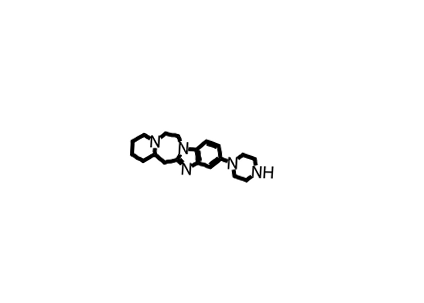 c1cc2c(cc1N1CCNCC1)nc1n2CCN2CCCCC2C1